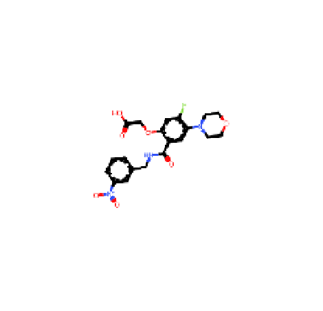 O=C(O)COc1cc(F)c(N2CCOCC2)cc1C(=O)NCc1cccc([N+](=O)[O-])c1